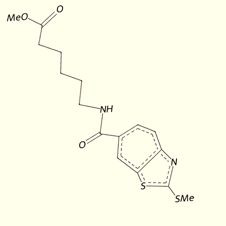 COC(=O)CCCCCNC(=O)c1ccc2nc(SC)sc2c1